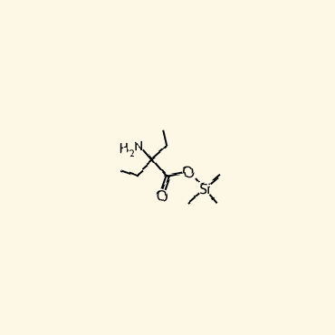 CCC(N)(CC)C(=O)O[Si](C)(C)C